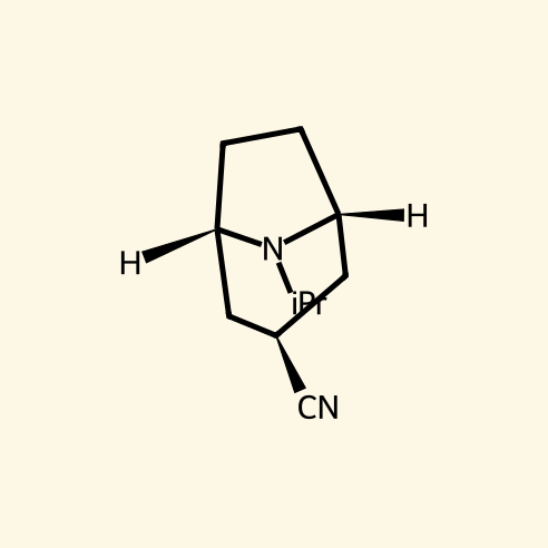 CC(C)N1[C@@H]2CC[C@H]1C[C@H](C#N)C2